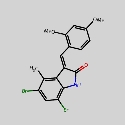 COc1ccc(C=C2C(=O)Nc3c(Br)cc(Br)c(C)c32)c(OC)c1